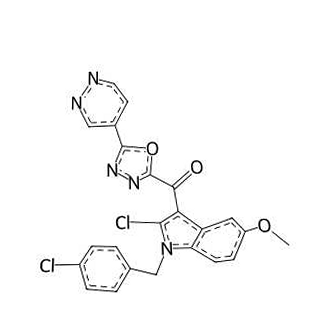 COc1ccc2c(c1)c(C(=O)c1nnc(-c3ccnnc3)o1)c(Cl)n2Cc1ccc(Cl)cc1